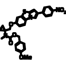 COc1ccc(COC(=O)N(C)C2(COc3ccc4c(c3)sc3cc(-c5ccc([N+](=O)[O-])cc5)cn34)CC2)cc1